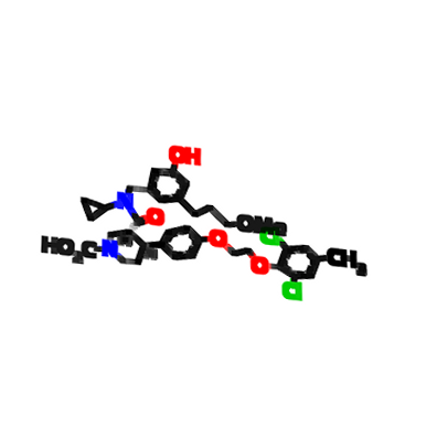 COCCCc1cc(O)cc(CN(C(=O)[C@H]2CN(C(=O)O)CC[C@@H]2c2ccc(OCCOc3c(Cl)cc(C)cc3Cl)cc2)C2CC2)c1